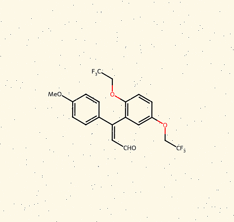 COc1ccc(C(=CC=O)c2cc(OCC(F)(F)F)ccc2OCC(F)(F)F)cc1